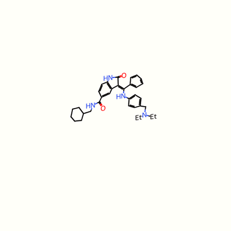 CCN(CC)Cc1ccc(NC(=C2C(=O)Nc3ccc(C(=O)NCC4CCCCC4)cc32)c2ccccc2)cc1